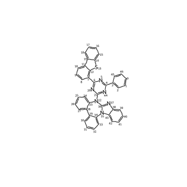 c1ccc(-c2nc(-c3cccc4c3sc3ccccc34)nc(N3c4ccccc4-c4ccccc4-n4c3nc3ccccc34)n2)cc1